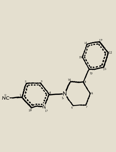 N#Cc1ccc(N2CCCC(c3ccccc3)C2)nc1